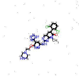 Cn1c(=O)c(-c2c(Cl)cccc2Cl)cc2cnc(Nc3cc(-c4nnn[nH]4)c(OCCN4CCNCC4)nn3)nc21